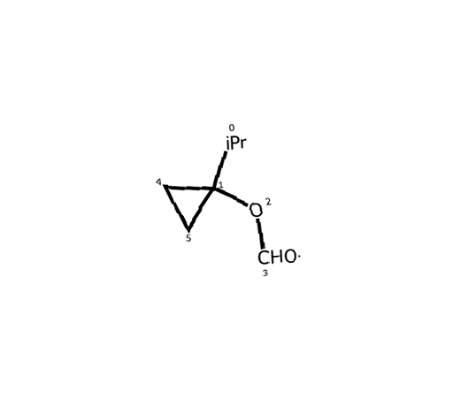 CC(C)C1(O[C]=O)CC1